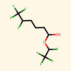 OC(CCCC(F)C(F)(F)F)OC(F)C(F)(F)F